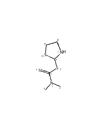 CN(C)C(=S)SC1NCCS1